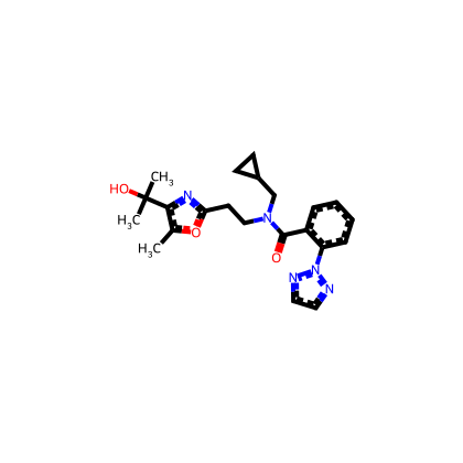 Cc1oc(CCN(CC2CC2)C(=O)c2ccccc2-n2nccn2)nc1C(C)(C)O